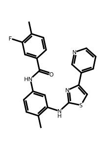 Cc1ccc(C(=O)Nc2ccc(C)c(Nc3nc(-c4cccnc4)cs3)c2)cc1F